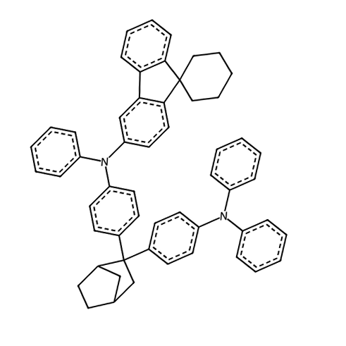 c1ccc(N(c2ccccc2)c2ccc(C3(c4ccc(N(c5ccccc5)c5ccc6c(c5)-c5ccccc5C65CCCCC5)cc4)CC4CCC3C4)cc2)cc1